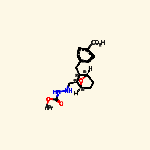 CCCOC(=O)NNC[C@H]1[C@@H](Cc2ccc(C(=O)O)cc2)[C@H]2CC[C@@H]1O2